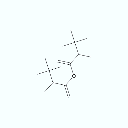 C=C(OC(=C)C(C)C(C)(C)C)C(C)C(C)(C)C